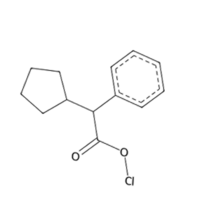 O=C(OCl)C(c1ccccc1)C1CCCC1